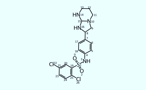 O=S(=O)(Nc1ccc(C2CN3CCCNC3N2)cc1)c1cc(Cl)ccc1Cl